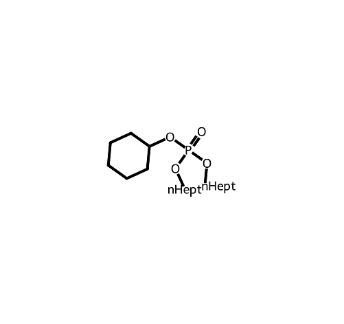 CCCCCCCOP(=O)(OCCCCCCC)OC1CCCCC1